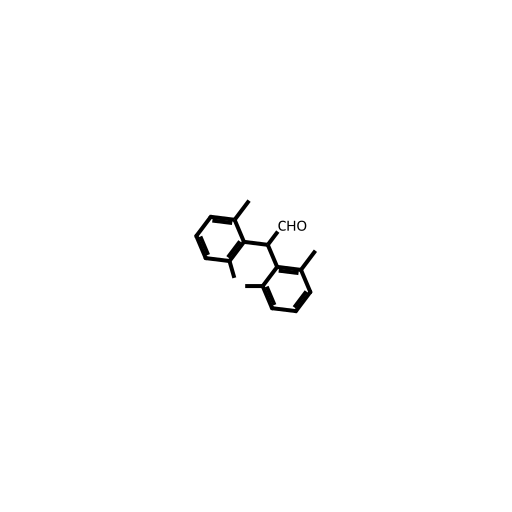 Cc1cccc(C)c1C(C=O)c1c(C)cccc1C